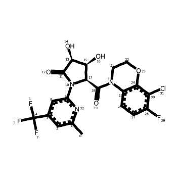 Cc1cc(C(F)(F)F)cc(N2C(=O)[C@@H](O)[C@@H](O)[C@H]2C(=O)N2CCOc3c2ccc(F)c3Cl)n1